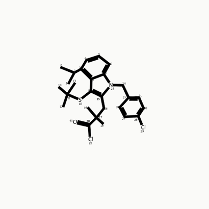 CC(C)c1cccc2c1c(SC(C)(C)C)c(CC(C)(C)C(=O)Cl)n2Cc1ccc(Cl)cc1